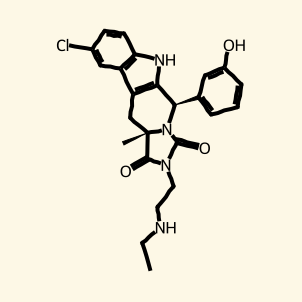 CCNCCN1C(=O)N2[C@H](c3cccc(O)c3)c3[nH]c4ccc(Cl)cc4c3C[C@@]2(C)C1=O